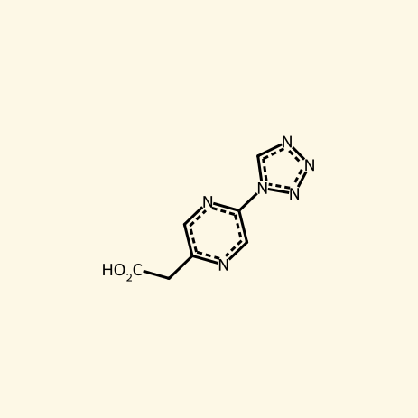 O=C(O)Cc1cnc(-n2cnnn2)cn1